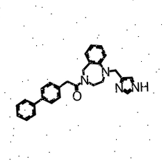 O=C(Cc1ccc(-c2ccccc2)cc1)N1CCN(Cc2c[nH]cn2)c2ccccc2C1